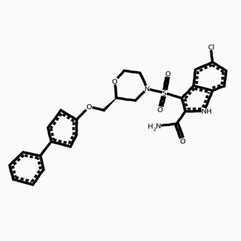 NC(=O)c1[nH]c2ccc(Cl)cc2c1S(=O)(=O)N1CCO[C@H](COc2ccc(-c3ccccc3)cc2)C1